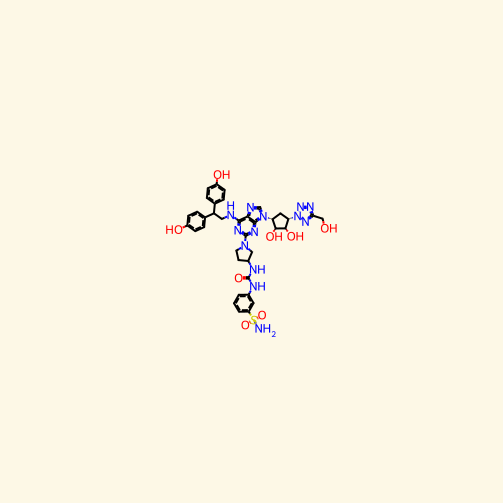 NS(=O)(=O)c1cccc(NC(=O)NC2CCN(c3nc(NCC(c4ccc(O)cc4)c4ccc(O)cc4)c4ncn([C@@H]5C[C@H](n6nnc(CO)n6)[C@@H](O)[C@H]5O)c4n3)C2)c1